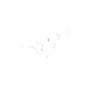 C[C@H](NC(=O)c1cn(C)nc1C(F)F)C(=O)O